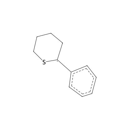 c1ccc([C]2CCCCS2)cc1